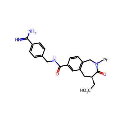 CC(C)N1Cc2ccc(C(=O)NCc3ccc(C(=N)N)cc3)cc2C[C@H](CC(=O)O)C1=O